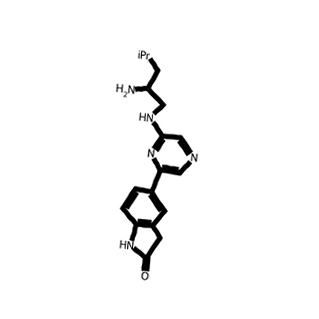 CC(C)CC(N)CNc1cncc(-c2ccc3c(c2)CC(=O)N3)n1